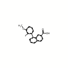 COc1cccc(-c2cccc3ccc(C(=O)O)cc23)c1F